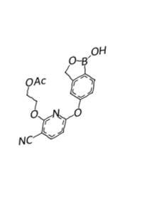 CC(=O)OCCOc1nc(Oc2ccc3c(c2)COB3O)ccc1C#N